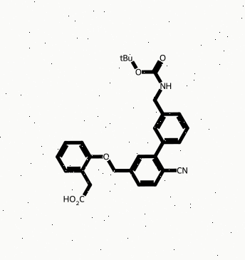 CC(C)(C)OC(=O)NCc1cccc(-c2cc(COc3ccccc3CC(=O)O)ccc2C#N)c1